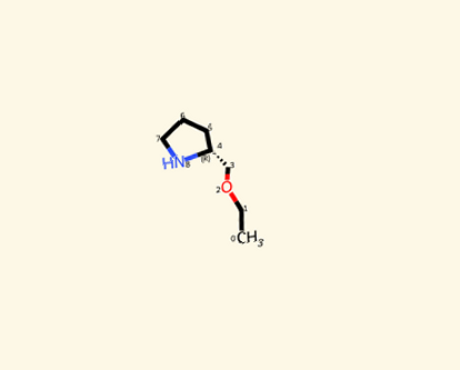 CCOC[C@H]1CCCN1